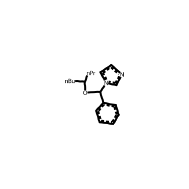 CCCCC(CCC)OC(c1ccccc1)n1ccnc1